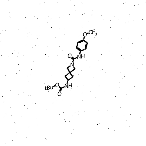 CC(C)(C)OC(=O)NC1CC2(C1)CN(C(=O)Nc1ccc(OC(F)(F)F)cc1)C2